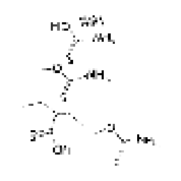 CCN(CC)C(O)=S.COC(N)=S.COC(N)=S.NC(O)=S.[NaH]